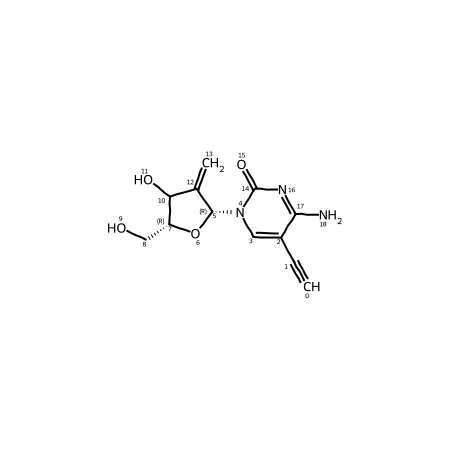 C#Cc1cn([C@@H]2O[C@H](CO)C(O)C2=C)c(=O)nc1N